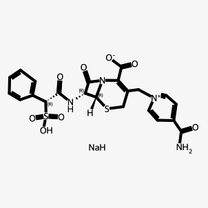 NC(=O)c1cc[n+](CC2=C(C(=O)[O-])N3C(=O)[C@@H](NC(=O)[C@@H](c4ccccc4)S(=O)(=O)O)[C@H]3SC2)cc1.[NaH]